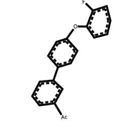 CC(=O)c1cccc(-c2ccc(Oc3ccccc3F)cc2)c1